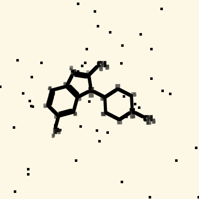 Cc1nc2ccc(C(C)C)cc2n1C1CCN(C)CC1